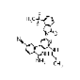 CCCNc1cc(-c2cc(C#N)ccc2C(=N)N)cc(N2Cc3c(cccc3C(C)(F)F)C2=O)n1